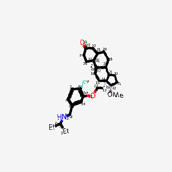 CCC(CC)NCc1ccc(F)c(OCC[C@]23CCC4C(CCC5CC(=O)CC[C@@]54C)C2CC[C@@H]3OC)c1